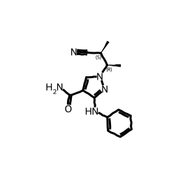 C[C@H](C#N)[C@@H](C)n1cc(C(N)=O)c(Nc2ccccc2)n1